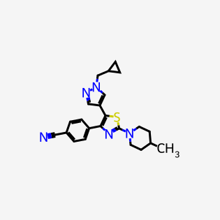 CC1CCN(c2nc(-c3ccc(C#N)cc3)c(-c3cnn(CC4CC4)c3)s2)CC1